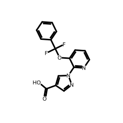 O=C(O)c1cnn(-c2ncccc2OC(F)(F)c2ccccc2)c1